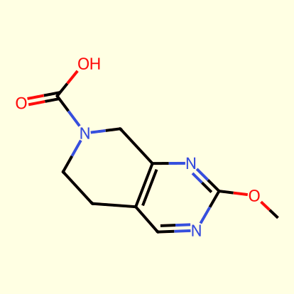 COc1ncc2c(n1)CN(C(=O)O)CC2